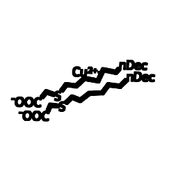 CCCCCCCCCCCCCCCCSCC(=O)[O-].CCCCCCCCCCCCCCCCSCC(=O)[O-].[Cu+2]